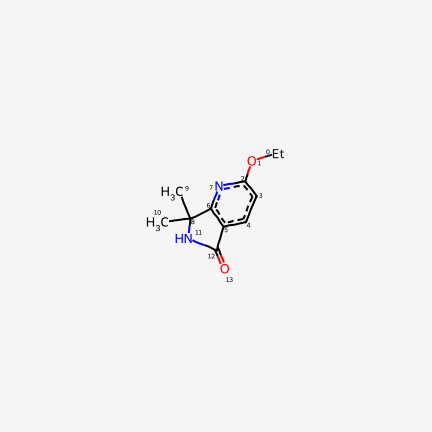 CCOc1ccc2c(n1)C(C)(C)NC2=O